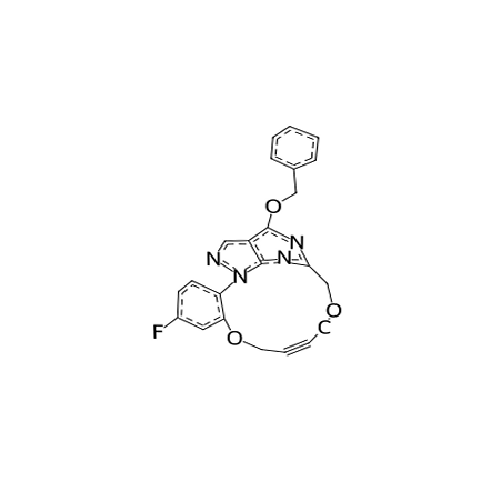 Fc1ccc2c(c1)OCC#CCOCc1nc(OCc3ccccc3)c3cnn-2c3n1